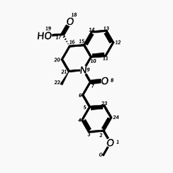 COc1ccc(CC(=O)N2c3ccccc3[C@@H](C(=O)O)C[C@@H]2C)cc1